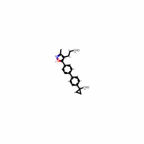 Cc1noc(-c2ccc(-c3ccc(C4(C=O)CC4)cc3)cc2)c1CCC=O